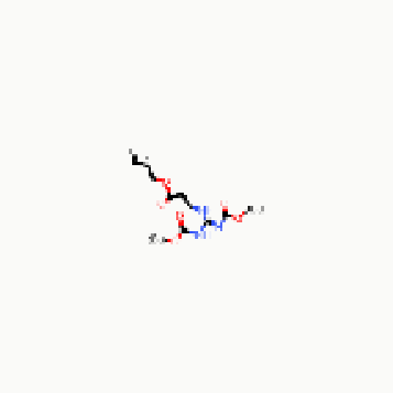 C=CCCOC(=O)CCN/C(=N\C(=O)OC(C)(C)C)NC(=O)OC(C)(C)C